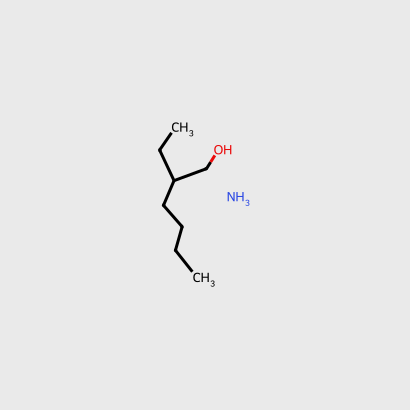 CCCCC(CC)CO.N